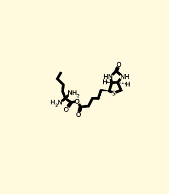 CCCCC(N)(N)C(=O)OC(=O)CCCC[C@@H]1SC[C@@H]2NC(=O)N[C@@H]21